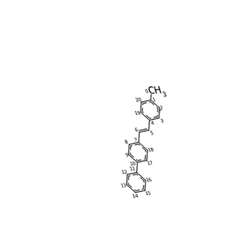 Cc1[c]cc(C=Cc2ccc(-c3ccccc3)cc2)cc1